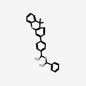 CC1(C)c2ccccc2Sc2cc(-c3ccc(C(N)OC(N)c4ccccc4)cc3)ccc21